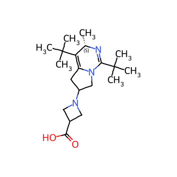 C[C@@H]1N=C(C(C)(C)C)N2CC(N3CC(C(=O)O)C3)CC2=C1C(C)(C)C